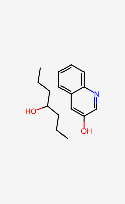 CCCC(O)CCC.Oc1cnc2ccccc2c1